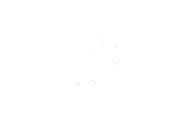 N=NC1=NN=NC1=O